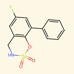 O=S1(=O)NCc2cc(F)cc(-c3cc[c]cc3)c2O1